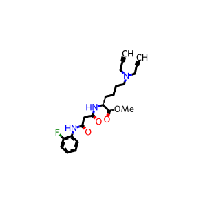 C#CCN(CC#C)CCCC[C@H](NC(=O)CC(=O)Nc1ccccc1F)C(=O)OC